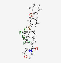 O=C(C=Cc1ccc(Sc2cccc(OC3CCCCC3)c2)c(C(F)(F)F)c1C(F)(F)F)N1CCOCC1